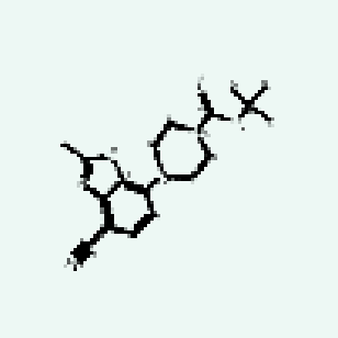 Cc1nc2c(C#N)ccc(N3CCN(C(=O)OC(C)(C)C)CC3)c2o1